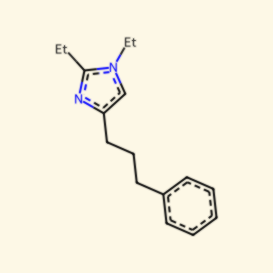 CCc1nc(CCCc2ccccc2)cn1CC